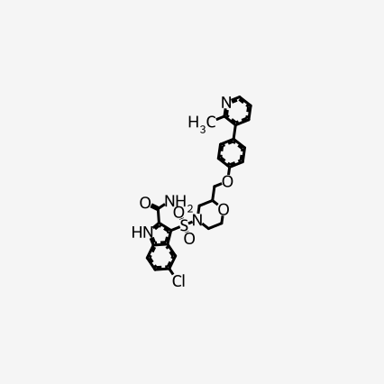 Cc1ncccc1-c1ccc(OCC2CN(S(=O)(=O)c3c(C(N)=O)[nH]c4ccc(Cl)cc34)CCO2)cc1